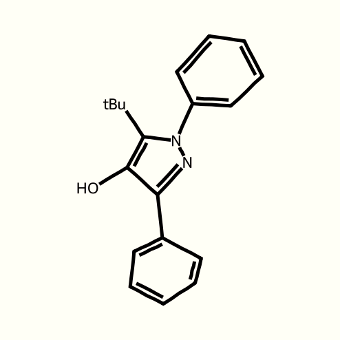 CC(C)(C)c1c(O)c(-c2ccccc2)nn1-c1ccccc1